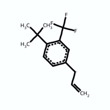 C=C[CH]c1ccc(C(C)(C)C)c(C(F)(F)F)c1